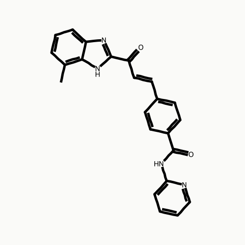 Cc1cccc2nc(C(=O)C=Cc3ccc(C(=O)Nc4ccccn4)cc3)[nH]c12